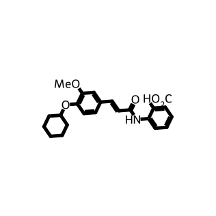 COc1cc(/C=C/C(=O)Nc2ccccc2C(=O)O)ccc1OC1CCCCC1